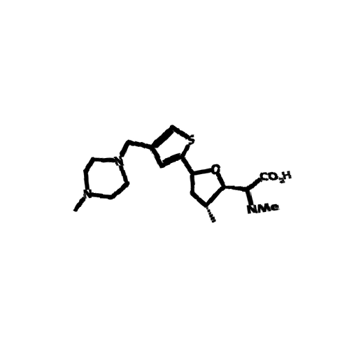 CNC(C(=O)O)[C@@H]1OC(c2cc(CN3CCN(C)CC3)cs2)C[C@H]1C